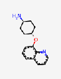 N[C@H]1CC[C@H](Oc2cccc3cccnc23)CC1